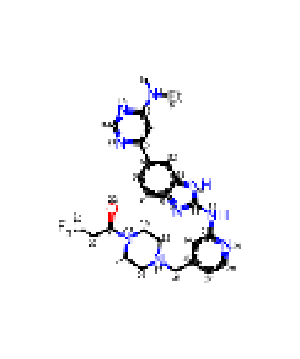 CCN(C)c1cc(-c2ccc3nc(Nc4cc(CN5CCN(C(=O)CC(F)(F)F)CC5)ccn4)[nH]c3c2)ncn1